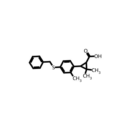 Cc1cc(SCc2ccccc2)ccc1C1C(C(=O)O)C1(C)C